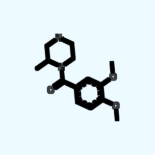 COc1ccc(C(=O)N2CC[N]CC2C)cc1OC